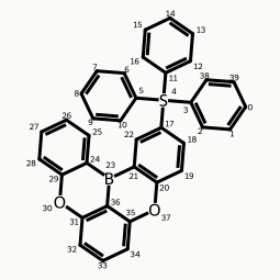 c1ccc(S(c2ccccc2)(c2ccccc2)c2ccc3c(c2)B2c4ccccc4Oc4cccc(c42)O3)cc1